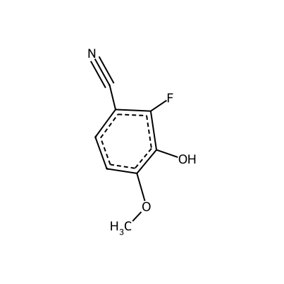 COc1ccc(C#N)c(F)c1O